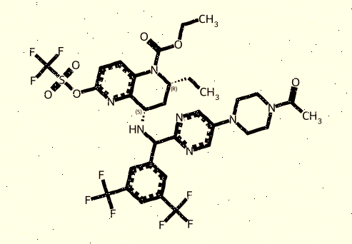 CCOC(=O)N1c2ccc(OS(=O)(=O)C(F)(F)F)nc2[C@@H](NC(c2cc(C(F)(F)F)cc(C(F)(F)F)c2)c2ncc(N3CCN(C(C)=O)CC3)cn2)C[C@H]1CC